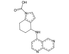 O=C(O)n1ccc2c1CCCC2Nc1ccnc2ccncc12